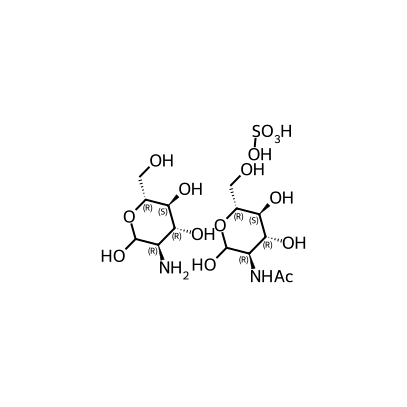 CC(=O)N[C@H]1C(O)O[C@H](CO)[C@@H](O)[C@@H]1O.N[C@H]1C(O)O[C@H](CO)[C@@H](O)[C@@H]1O.O=S(=O)(O)O